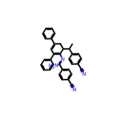 CC(c1ccc(C#N)cc1)C1CC(c2ccccc2)=CC(c2ccccc2)=C1/N=C(\N)c1ccc(C#N)cc1